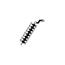 FC(F)(F)C(F)(F)C(F)(F)C(F)(F)C(F)(F)C(F)(F)C(F)(F)C(F)(F)OCCBr